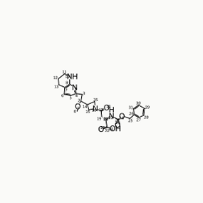 COC(Cc1ccc2c(n1)NCCC2)C1CN(C(=O)C[C@H](NC(=O)OCc2ccccc2)C(=O)O)C1